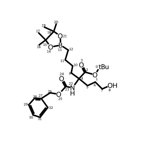 CC(C)(C)OC(=O)C(CCCO)(CCCCB1OC(C)(C)C(C)(C)O1)NC(=O)OCc1ccccc1